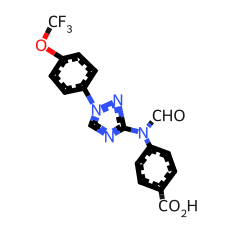 O=CN(c1ccc(C(=O)O)cc1)c1ncn(-c2ccc(OC(F)(F)F)cc2)n1